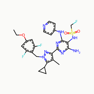 CCOc1cc(F)c(Cn2nc(-c3nc(N)c(NS(=O)(=O)CF)c(Nc4ccncc4)n3)c(C)c2C2CC2)c(F)c1